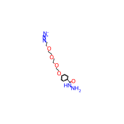 [N-]=[N+]=NCCOCCOCCOCCOc1ccc(C(=O)NN)cc1